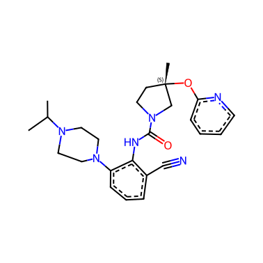 CC(C)N1CCN(c2cccc(C#N)c2NC(=O)N2CC[C@](C)(Oc3ccccn3)C2)CC1